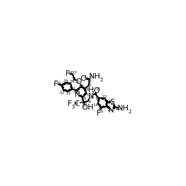 NC(=O)Cc1cc([C@@](O)(CNC(=O)c2cc(F)c3nc(N)sc3c2)C(F)(F)F)nc(-c2ccc(F)cc2)c1OCCF